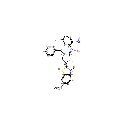 CCNc1ccc(C#N)cc1/[N+]([O-])=C1/SC(=C2Sc3cc(NC(C)=O)ccc3N2C)CN1Cc1ccccc1